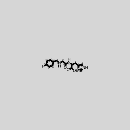 COC(=O)C(Cc1c[nH]cn1)NC(=O)CNCc1ccc(F)cc1